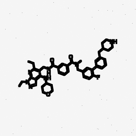 CCc1nc2c(cnn2CC)c(NC2CCOCC2)c1CNC(=O)c1cccc(C(=O)N(C)Cc2ccc(F)c(-c3cccc(CC4CCNCC4)c3)c2)c1